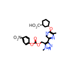 Cc1nc(-c2nnn(C)c2COC(=O)Oc2ccc([N+](=O)[O-])cc2)cnc1O[C@H]1CCC[C@H](C(=O)O)C1